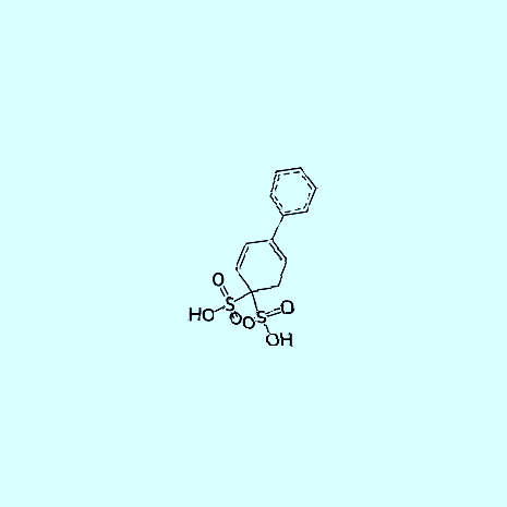 O=S(=O)(O)C1(S(=O)(=O)O)C=CC(c2ccccc2)=CC1